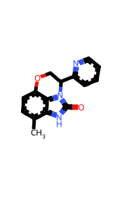 Cc1ccc2c3c1[nH]c(=O)n3C(c1ccccn1)CO2